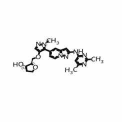 Cc1cc(Nc2cc3cc(-c4c(OC[C@H]5OCC[C@@H]5O)cnn4C)ccn3n2)nc(C)n1